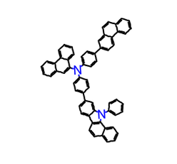 c1ccc(-n2c3cc(-c4ccc(N(c5ccc(-c6ccc7c(ccc8ccccc87)c6)cc5)c5cc6ccccc6c6ccccc56)cc4)ccc3c3ccc4ccccc4c32)cc1